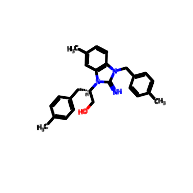 Cc1ccc(C[C@@H](CO)n2c(=N)n(Cc3ccc(C)cc3)c3ccc(C)cc32)cc1